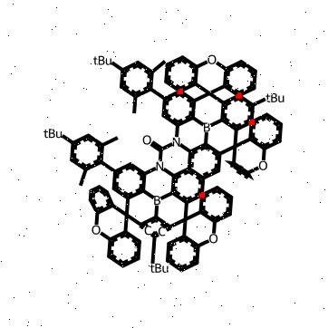 Cc1cc(C(C)(C)C)cc(C)c1-c1cc2c3c(c1)C1(c4ccccc4Oc4ccccc41)c1cc(C(C)(C)C)cc4c1B3c1c(cc3cc5c6c7c3c1N2C(=O)N7c1cc(-c2c(C)cc(C(C)(C)C)cc2C)cc2c1B6c1c(cc(C(C)(C)C)cc1C51c3ccccc3Oc3ccccc31)C21c2ccccc2Oc2ccccc21)C41c2ccccc2Oc2ccccc21